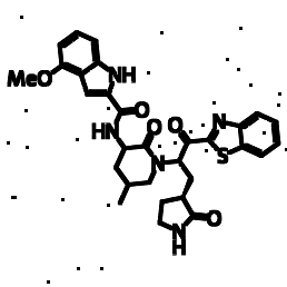 COc1cccc2[nH]c(C(=O)NC3CC(C)CN(C(C[C@@H]4CCNC4=O)C(=O)c4nc5ccccc5s4)C3=O)cc12